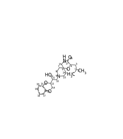 CC(C)CC1OC2(CCN(CC(O)C3COc4ccccc4O3)CC2)CNC1=O